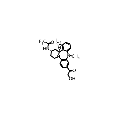 Cc1cccc2c1[C@H]1C[C@@H](NC(=O)C(F)(F)F)CCN1c1ccc(C(=O)CO)cc1N2C